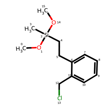 CO[Si](C)(CCc1ccccc1CCl)OC